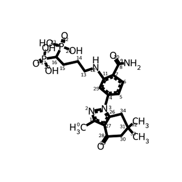 Cc1nn(-c2ccc(C(N)=O)c(NCCCC(P(=O)(O)O)P(=O)(O)O)c2)c2c1C(=O)CC(C)(C)C2